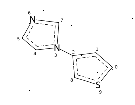 [c]1cc(-n2ccnc2)cs1